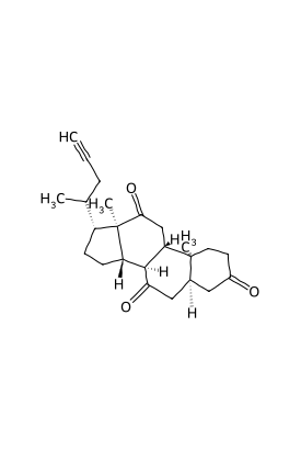 C#CCC(C)[C@H]1CC[C@H]2[C@@H]3C(=O)C[C@@H]4CC(=O)CC[C@]4(C)[C@H]3CC(=O)[C@]12C